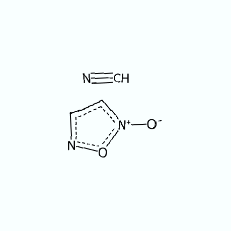 C#N.[O-][n+]1ccno1